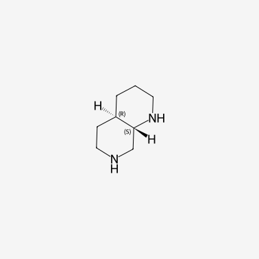 C1CN[C@@H]2CNCC[C@H]2C1